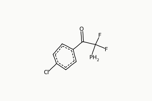 O=C(c1ccc(Cl)cc1)C(F)(F)P